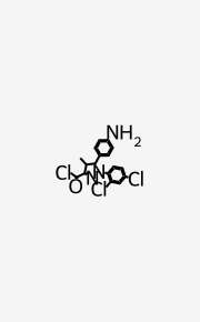 CC1C(C(=O)Cl)=NN(c2ccc(Cl)cc2Cl)C1c1ccc(N)cc1